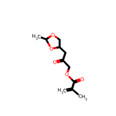 C=C(C)C(=O)OCC(=O)CC1COC(C)O1